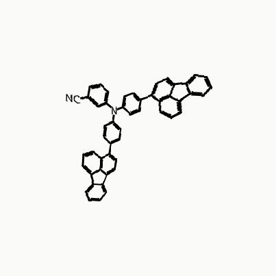 N#Cc1cccc(N(c2ccc(-c3ccc4c5c(cccc35)-c3ccccc3-4)cc2)c2ccc(-c3ccc4c5c(cccc35)-c3ccccc3-4)cc2)c1